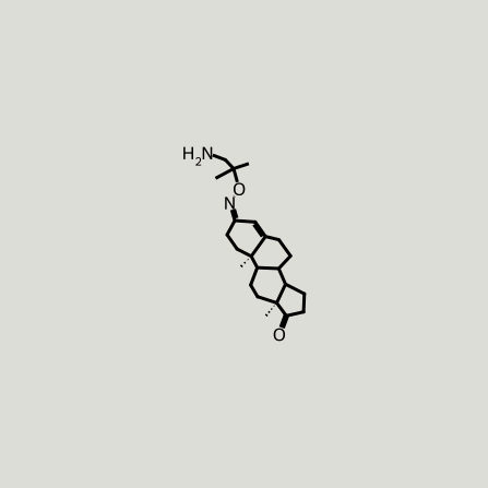 CC(C)(CN)ON=C1C=C2CCC3C(CC[C@]4(C)C(=O)CCC34)[C@@]2(C)CC1